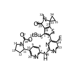 Cc1c(-c2nc(Nc3ccc(C4CCCN4C(=O)OC(C)(C)C)cn3)ncc2F)sc2c1C(=O)N(C)C21CC1